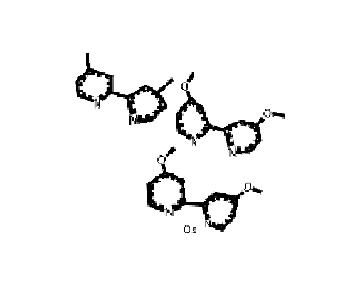 COc1ccnc(-c2cc(OC)ccn2)c1.COc1ccnc(-c2cc(OC)ccn2)c1.Cc1ccnc(-c2cc(C)ccn2)c1.[Os]